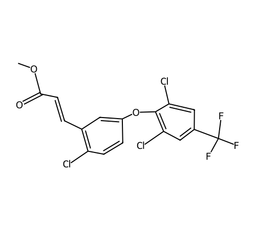 COC(=O)C=Cc1cc(Oc2c(Cl)cc(C(F)(F)F)cc2Cl)ccc1Cl